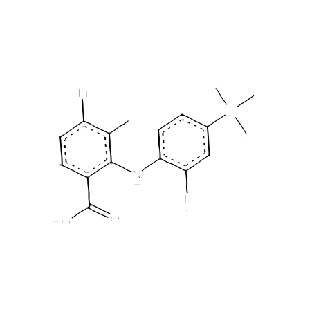 C[Si](C)(C)c1ccc(Nc2c(C(=O)O)ccc(Br)c2F)c(F)c1